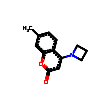 Cc1ccc2c(N3CCC3)cc(=O)oc2c1